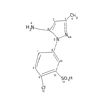 Cc1cc(N)n(-c2ccc(Cl)c(S(=O)(=O)O)c2)n1